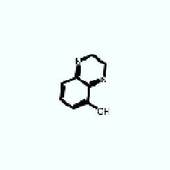 Oc1cccc2c1=NCCN=2